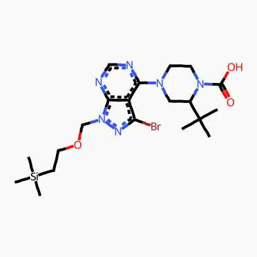 CC(C)(C)C1CN(c2ncnc3c2c(Br)nn3COCC[Si](C)(C)C)CCN1C(=O)O